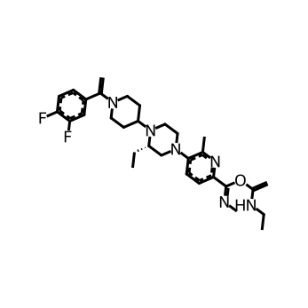 C=C(NCC)O/C(=N\C)c1ccc(N2CCN(C3CCN(C(=C)c4ccc(F)c(F)c4)CC3)[C@@H](CC)C2)c(C)n1